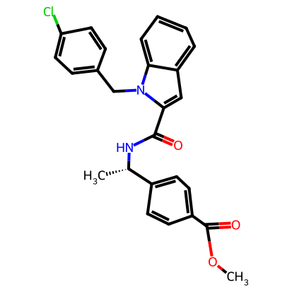 COC(=O)c1ccc([C@H](C)NC(=O)c2cc3ccccc3n2Cc2ccc(Cl)cc2)cc1